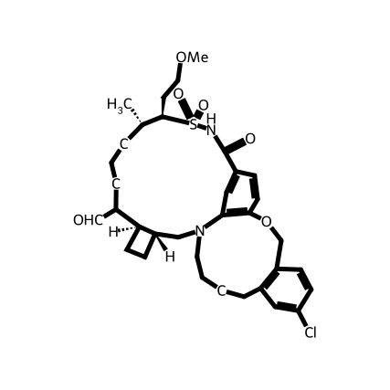 COCC[C@@H]1[C@@H](C)CCCC(C=O)[C@@H]2CC[C@H]2CN2CCCCc3cc(Cl)ccc3COc3ccc(cc32)C(=O)NS1(=O)=O